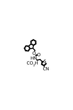 N#Cc1csc(C[C@H](NC(=O)OCC2c3ccccc3-c3ccccc32)C(=O)O)c1